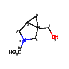 O=C(O)N1CC2CC2(CO)C1